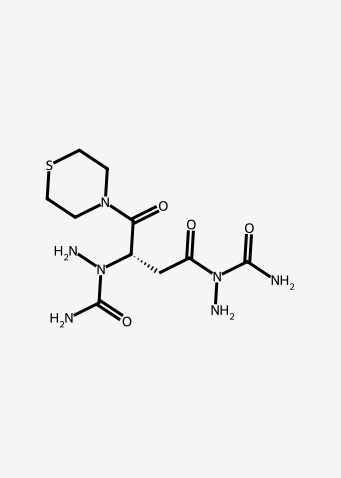 NC(=O)N(N)C(=O)C[C@@H](C(=O)N1CCSCC1)N(N)C(N)=O